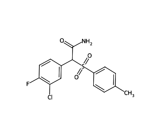 Cc1ccc(S(=O)(=O)C(C(N)=O)c2ccc(F)c(Cl)c2)cc1